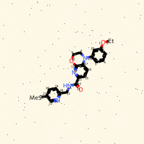 CCOc1cccc(N2CCOc3nc(C(=O)NCc4ccc(SC)cn4)ccc32)c1